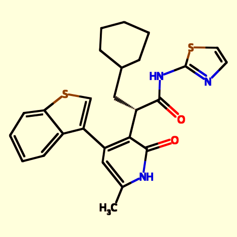 Cc1cc(-c2csc3ccccc23)c([C@H](CC2CCCCC2)C(=O)Nc2nccs2)c(=O)[nH]1